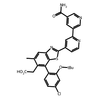 Cc1cc2nc(-c3ccnc(-c4cncc(C(N)=O)c4)c3)sc2c(-c2ccc(Cl)cc2OC(C)(C)C)c1CC(=O)O